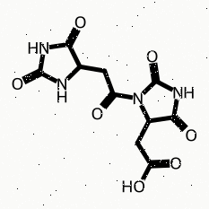 O=C(O)CC1C(=O)NC(=O)N1C(=O)CC1NC(=O)NC1=O